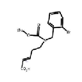 CC(C)(C)OC(=O)N(CC/C=C/C(=O)O)Cc1ccccc1Br